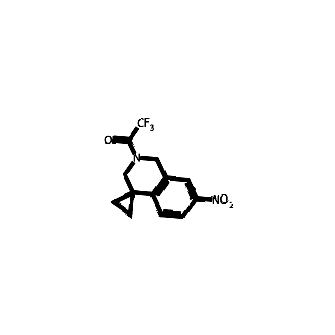 O=C(N1Cc2cc([N+](=O)[O-])ccc2C2(CC2)C1)C(F)(F)F